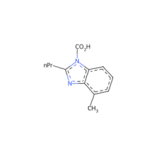 CCCc1nc2c(C)cccc2n1C(=O)O